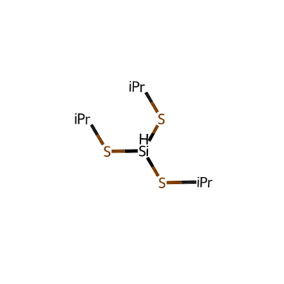 CC(C)S[SiH](SC(C)C)SC(C)C